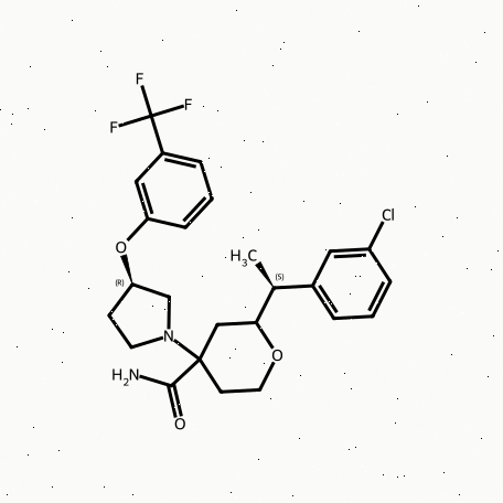 C[C@@H](c1cccc(Cl)c1)C1CC(C(N)=O)(N2CC[C@@H](Oc3cccc(C(F)(F)F)c3)C2)CCO1